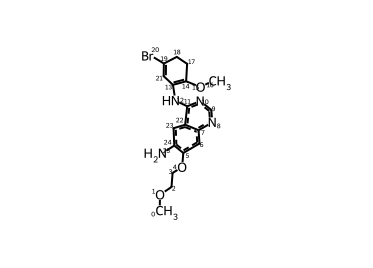 COCCOc1cc2ncnc(NC3=C(OC)CCC(Br)=C3)c2cc1N